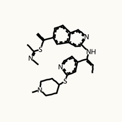 C=C(S/C(C)=N\C)c1ccc2cnc(N/C(=C/C)c3ccnc(SC4CCN(C)CC4)c3)cc2c1